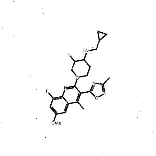 COc1cc(F)c2nc(N3CCC(NCC4CC4)C(F)C3)c(-c3nc(C)no3)c(C)c2c1